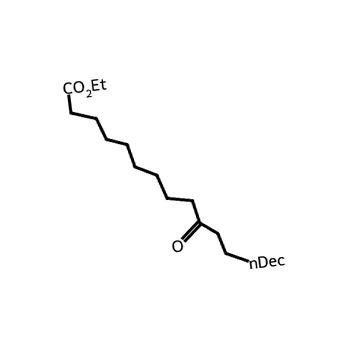 CCCCCCCCCCCCC(=O)CCCCCCCCC(=O)OCC